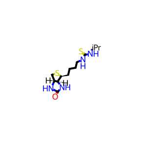 CC(C)NC(=S)NCCCC[C@@H]1SC[C@@H]2NC(=O)N[C@@H]21